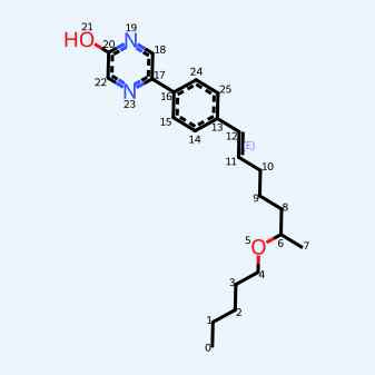 CCCCCOC(C)CCC/C=C/c1ccc(-c2cnc(O)cn2)cc1